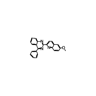 COc1ccc2nc(-c3nc(-c4ccccc4)c4ccccc4n3)ccc2c1